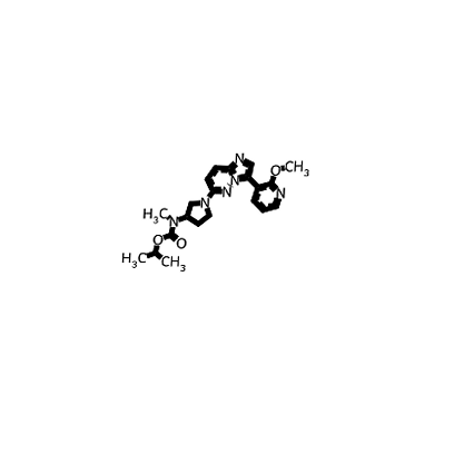 COc1ncccc1-c1cnc2ccc(N3CCC(N(C)C(=O)OC(C)C)C3)nn12